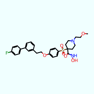 COCCN1CCC(C(=O)NO)(S(=O)(=O)c2ccc(OCCc3cccc(-c4ccc(F)cc4)c3)cc2)CC1